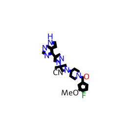 COc1cc(C(=O)N2CCC(N3CC(CC#N)(n4cc(-c5ncnc6[nH]ccc56)cn4)C3)CC2)ccc1F